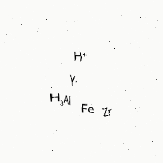 [AlH3].[Fe].[H+].[Y].[Zr]